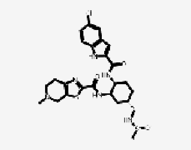 CN1CCc2nc(C(=O)N[C@@H]3C[C@@H](CN[S+](C)[O-])CC[C@@H]3NC(=O)c3cc4cc(Cl)ccc4[nH]3)sc2C1